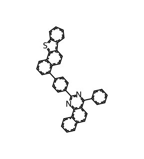 c1ccc(-c2nc(-c3ccc(-c4cccc5c4ccc4c6ccccc6sc54)cc3)nc3c2ccc2ccccc23)cc1